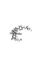 C=C(CCc1ccc(-c2nc(S(=O)(=O)Nc3cc(F)c(C(=O)O)cc3OC)cs2)cc1)C(F)(F)F